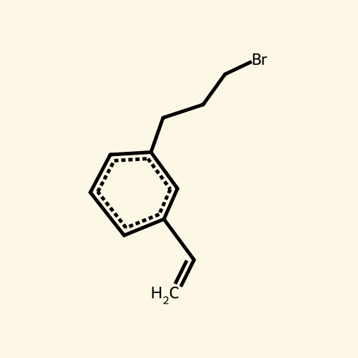 C=Cc1cccc(CCCBr)c1